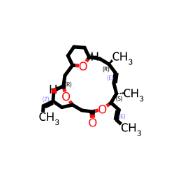 C/C=C1\CC2CC(=O)OC(/C=C/C)[C@@H](C)/C=C/[C@H](C)C[C@H]3CCCC(C[C@@H](C1)O2)O3